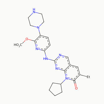 CCc1cc2cnc(Nc3ccc(N4CCNCC4)c(OC(=O)O)n3)nc2n(C2CCCC2)c1=O